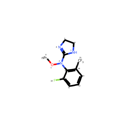 CCCON(C1=NCCN1)c1c(F)cccc1C(F)(F)F